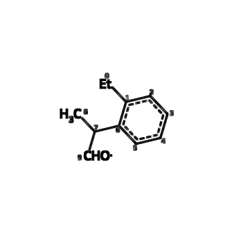 CCc1ccccc1C(C)[C]=O